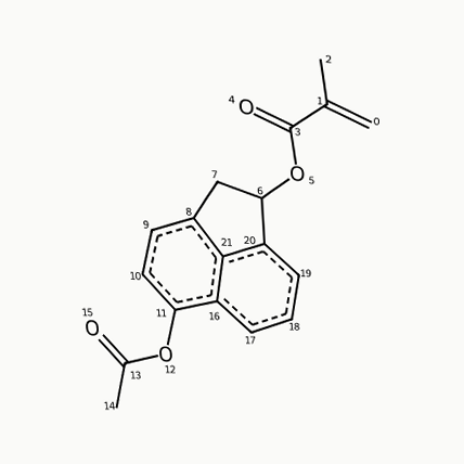 C=C(C)C(=O)OC1Cc2ccc(OC(C)=O)c3cccc1c23